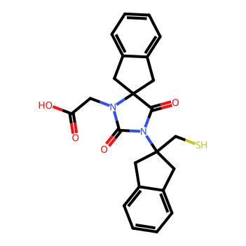 O=C(O)CN1C(=O)N(C2(CS)Cc3ccccc3C2)C(=O)C12Cc1ccccc1C2